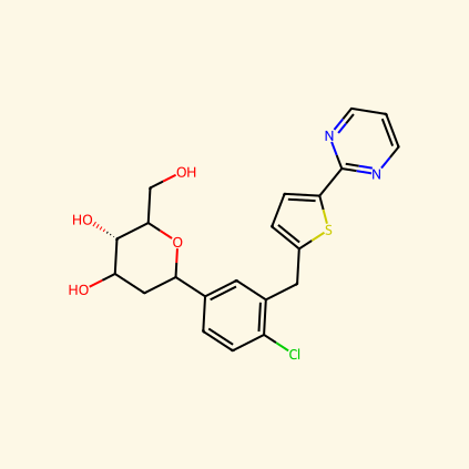 OCC1OC(c2ccc(Cl)c(Cc3ccc(-c4ncccn4)s3)c2)CC(O)[C@@H]1O